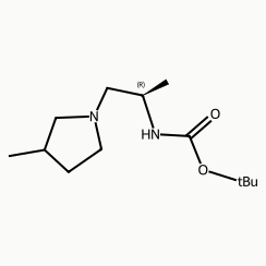 CC1CCN(C[C@@H](C)NC(=O)OC(C)(C)C)C1